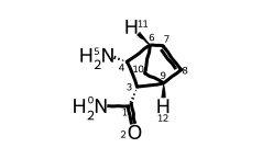 NC(=O)[C@@H]1[C@H](N)[C@@H]2C=C[C@H]1C2